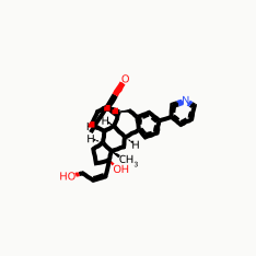 C[C@]12C[C@@H]3c4ccc(-c5cccnc5)cc4C[C@]45CCC(=O)C=C4CC[C@H]([C@H]35)[C@@H]1CC[C@@]2(O)/C=C\CO